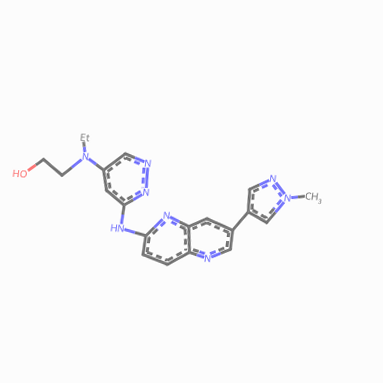 CCN(CCO)c1cnnc(Nc2ccc3ncc(-c4cnn(C)c4)cc3n2)c1